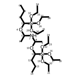 CCCC(OC(C)NC(C)OC(CCC)[Si](OCC)(OCC)OCC)[Si](OCC)(OCC)OCC